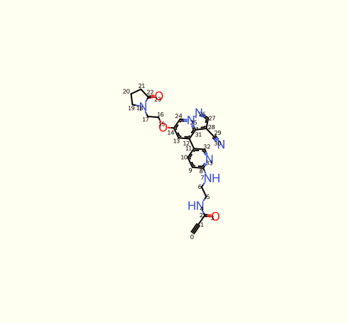 C#CC(=O)NCCNc1ccc(-c2cc(OCCN3CCCC3=O)cn3ncc(C#N)c23)cn1